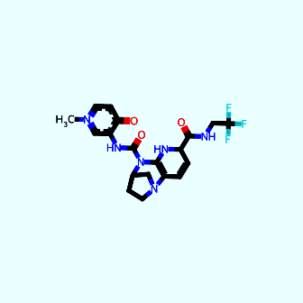 Cn1ccc(=O)c(NC(=O)N2C3=C(C=CC(C(=O)NCC(F)(F)F)N3)N3CCC2C3)c1